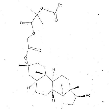 CCC(=O)OC(C)(C)C(=O)OCC(=O)O[C@]1(C)CC[C@@]2(C)[C@@H](CC[C@@H]3[C@@H]2CC[C@]2(C)[C@@H](C(C)=O)CC[C@@H]32)C1